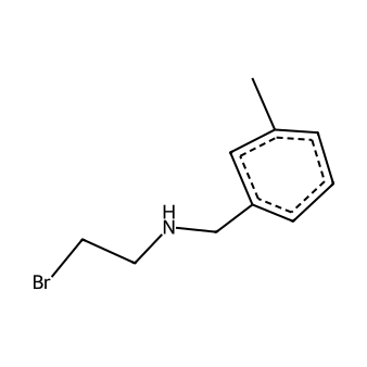 Cc1cccc(CNCCBr)c1